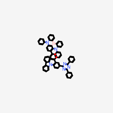 c1ccc(-c2nc(-c3ccccc3)nc(-c3ccc(-n4c5ccccc5c5ccccc54)c(-c4ccc(-c5ccc6c7c5N(c5ccccc5)c5ccccc5B7c5ccccc5N6c5ccccc5)cc4)c3)n2)cc1